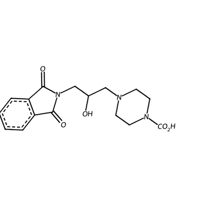 O=C(O)N1CCN(CC(O)CN2C(=O)c3ccccc3C2=O)CC1